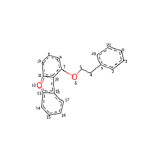 c1ccc(CCOc2cccc3oc4ccccc4c23)cc1